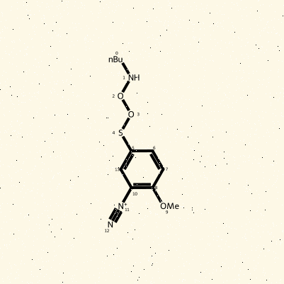 CCCCNOOSc1ccc(OC)c([N+]#N)c1